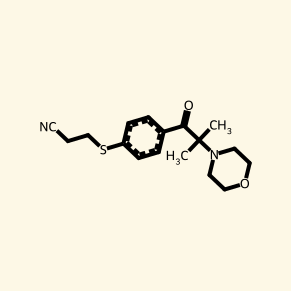 CC(C)(C(=O)c1ccc(SCCC#N)cc1)N1CCOCC1